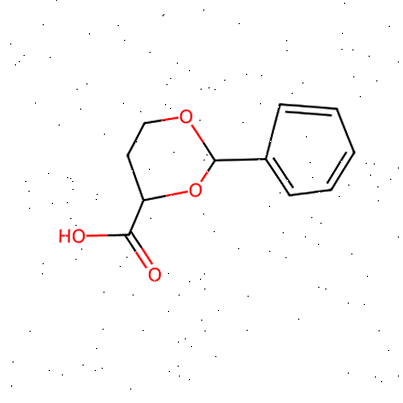 O=C(O)C1CCOC(c2ccccc2)O1